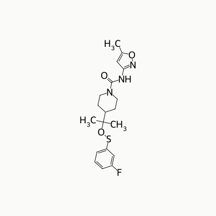 Cc1cc(NC(=O)N2CCC(C(C)(C)OSc3cccc(F)c3)CC2)no1